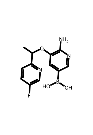 CC(Oc1cc(B(O)O)cnc1N)c1ccc(F)cn1